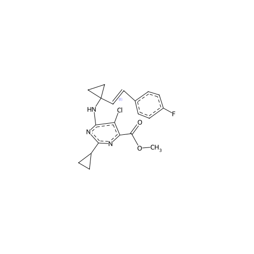 COC(=O)c1nc(C2CC2)nc(NC2(/C=C/c3ccc(F)cc3)CC2)c1Cl